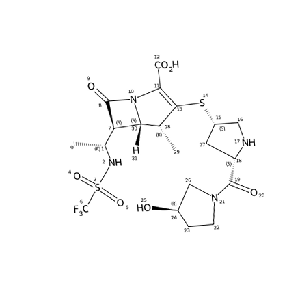 C[C@@H](NS(=O)(=O)C(F)(F)F)[C@H]1C(=O)N2C(C(=O)O)=C(S[C@@H]3CN[C@H](C(=O)N4CC[C@@H](O)C4)C3)[C@H](C)[C@H]12